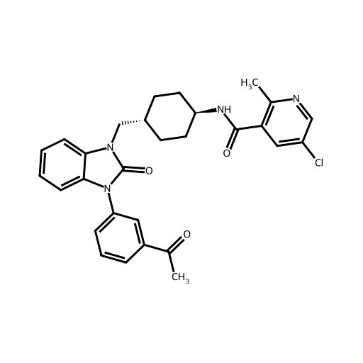 CC(=O)c1cccc(-n2c(=O)n(C[C@H]3CC[C@H](NC(=O)c4cc(Cl)cnc4C)CC3)c3ccccc32)c1